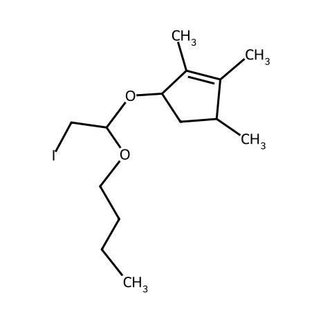 CCCCOC(CI)OC1CC(C)C(C)=C1C